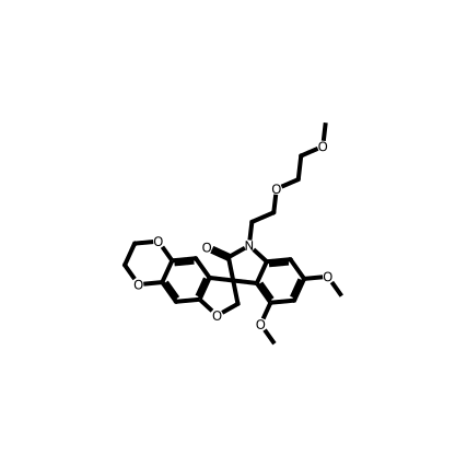 COCCOCCN1C(=O)C2(COc3cc4c(cc32)OCCO4)c2c(OC)cc(OC)cc21